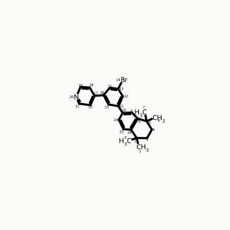 CC1(C)CCC(C)(C)c2cc(-c3cc(Br)cc(-c4ccncc4)c3)ccc21